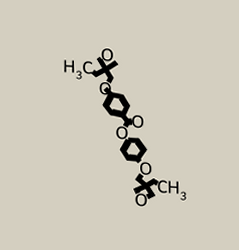 CCC1(COc2ccc(OC(=O)c3ccc(OCC4(CC)COC4)cc3)cc2)COC1